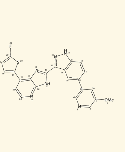 COc1cncc(-c2ccc3[nH]nc(-c4nc5c(-c6ccc(F)s6)ccnc5[nH]4)c3c2)c1